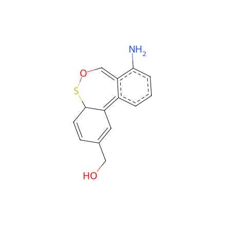 Nc1cccc2c1=COSC1C=CC(CO)=CC=21